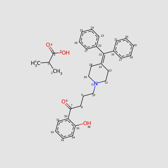 CC(C)C(=O)O.O=C(CCCN1CCC(=C(c2ccccc2)c2ccccc2)CC1)c1ccccc1O